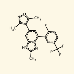 Cc1nc2c(-c3cc(C(F)(F)F)ccc3F)cc(-c3c(C)noc3C)cc2[nH]1